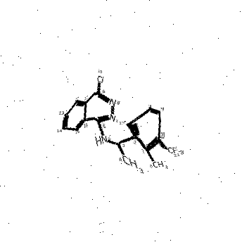 Cc1c(C(C)Nc2nnc(Cl)c3ccccc23)cccc1C(F)(F)F